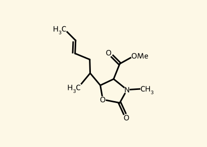 C/C=C/CC(C)C1OC(=O)N(C)C1C(=O)OC